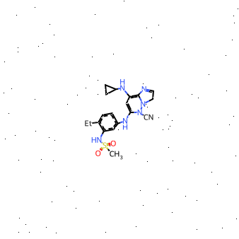 CCc1ccc(NC2=CC(NC3CC3)=C3N=CCN3N2C#N)cc1NS(C)(=O)=O